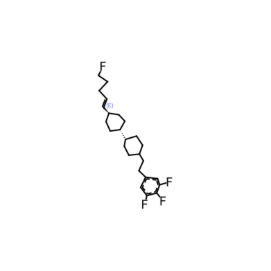 FCCC/C=C/[C@H]1CC[C@H](C2CCC(CCc3cc(F)c(F)c(F)c3)CC2)CC1